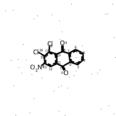 O=C1c2ccccc2C(=O)c2c1cc([N+](=O)[O-])c(Cl)c2Cl